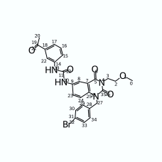 COCCn1c(=O)c2cc(NC(=O)Nc3cccc(C(C)=O)c3)ccc2n(Cc2ccc(Br)cc2)c1=O